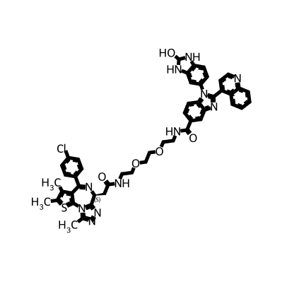 Cc1sc2c(c1C)C(c1ccc(Cl)cc1)=N[C@@H](CC(=O)NCCOCCOCCNC(=O)c1ccc3c(c1)nc(-c1ccnc4ccccc14)n3-c1ccc3c(c1)NC(O)N3)c1nnc(C)n1-2